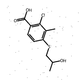 Cc1c(SCC(C)O)ccc(C(=O)O)c1Cl